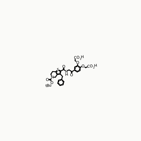 CC(C)(C)OC(=O)N1CCc2sc(C(=O)NCC(=O)c3ccc(OCC(=O)O)c(OCC(=O)O)c3)c(Cc3ccccc3)c2C1